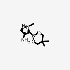 Cn1ncc(N)c1B1OCC(C)(C)CO1